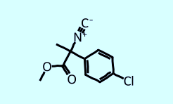 [C-]#[N+]C(C)(C(=O)OC)c1ccc(Cl)cc1